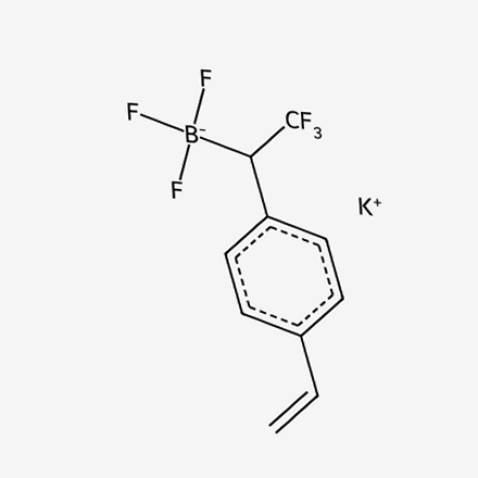 C=Cc1ccc(C([B-](F)(F)F)C(F)(F)F)cc1.[K+]